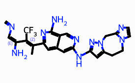 C=N/C=C(N)\C(=C(/C)c1cc2cc(Nc3cc4n(n3)Cc3nccn3CC4)ncc2c(N)n1)C(F)(F)F